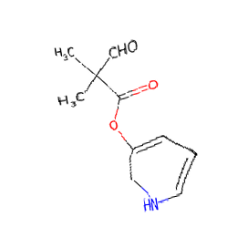 CC(C)(C=O)C(=O)OC1=CC=CNC1